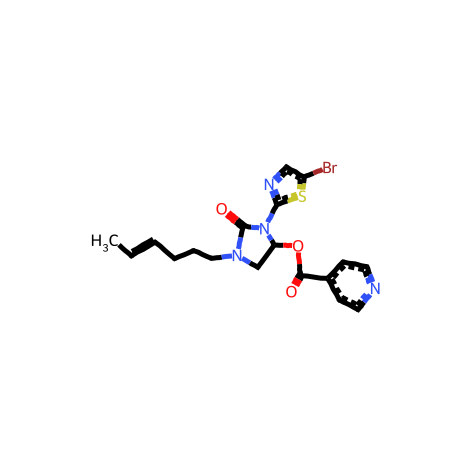 CC=CCCCN1CC(OC(=O)c2ccncc2)N(c2ncc(Br)s2)C1=O